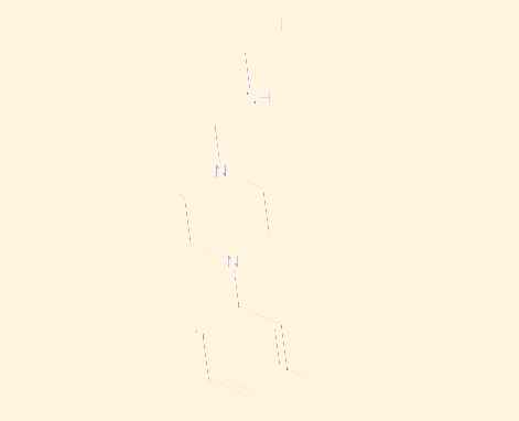 Clc1cccc(N2CCN(CNCI)CC2)c1